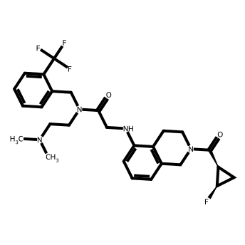 CN(C)CCN(Cc1ccccc1C(F)(F)F)C(=O)CNc1cccc2c1CCN(C(=O)[C@H]1C[C@H]1F)C2